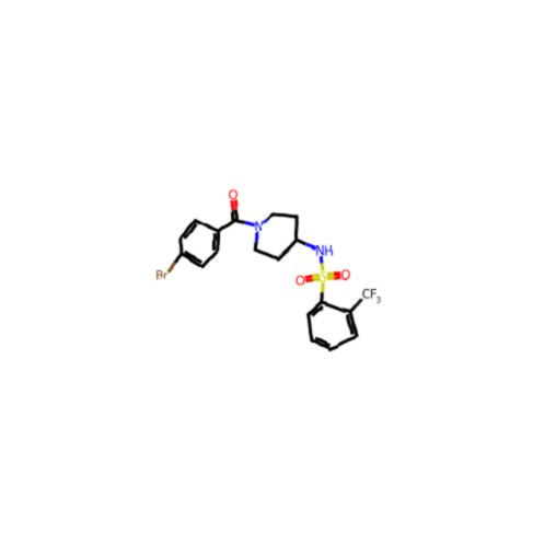 O=C(c1ccc(Br)cc1)N1CCC(NS(=O)(=O)c2ccccc2C(F)(F)F)CC1